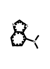 CN(C)c1cccc2ncsc12